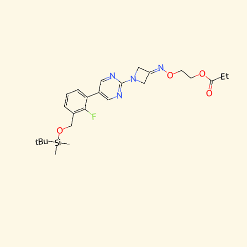 CCC(=O)OCCON=C1CN(c2ncc(-c3cccc(CO[Si](C)(C)C(C)(C)C)c3F)cn2)C1